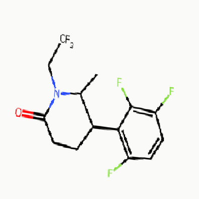 CC1C(c2c(F)ccc(F)c2F)CCC(=O)N1CC(F)(F)F